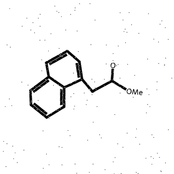 COC([O])Cc1cccc2ccccc12